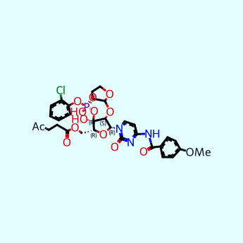 COc1ccc(C(=O)Nc2ccn([C@@H]3O[C@H](COC(=O)CCC(C)=O)[C@@](O)(OP(=O)(O)Oc4ccccc4Cl)[C@H]3OC3CCCO3)c(=O)n2)cc1